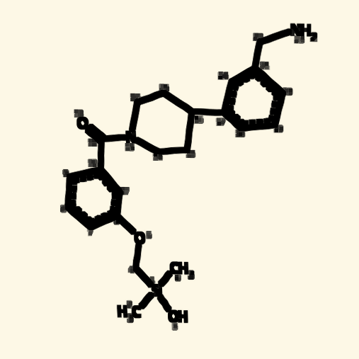 C[Si](C)(O)COc1cccc(C(=O)N2CCC(c3cccc(CN)c3)CC2)c1